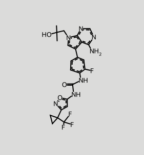 CC(C)(O)Cn1cc(-c2ccc(NC(=O)Nc3cc(C4(C(F)(F)F)CC4)no3)c(F)c2)c2c(N)ncnc21